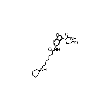 O=C1CCC(c2coc3ccc(NC(=O)CCCCCCNC4CCCCC4)cc23)C(=O)N1